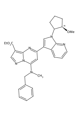 CCOC(=O)c1cnn2c(N(C)Cc3ccccc3)cc(-c3cn(C4CCC[C@H]4OC)c4ncccc34)nc12